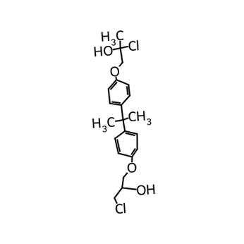 CC(O)(Cl)COc1ccc(C(C)(C)c2ccc(OCC(O)CCl)cc2)cc1